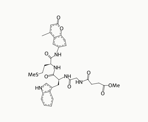 COC(=O)CCC(=O)NCC(=O)N[C@@H](Cc1c[nH]c2ccccc12)C(=O)N[C@@H](CCSC)C(=O)Nc1ccc2oc(=O)cc(C)c2c1